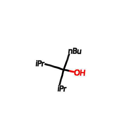 CCCCC(O)(C(C)C)C(C)C